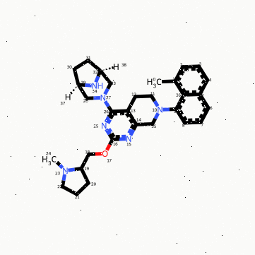 Cc1cccc2cccc(N3CCc4c(nc(OCC5CCCN5C)nc4N4C[C@H]5CC[C@@H](C4)N5)C3)c12